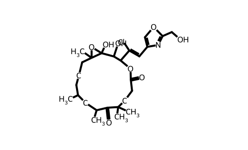 CC1CCCC2(C)OC2(O)C(O)C(C(Cl)=Cc2coc(CO)n2)OC(=O)CCC(C)(C)C(=O)C(C)C1